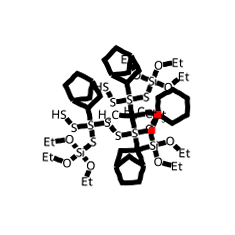 CCO[Si](OCC)(OCC)SS(SS)(SSS(SC1(C)CCCCC1)(C1([Si](OCC)(OCC)OCC)CC2CCC1C2)C(C)(C)S(SS)(S[Si](OCC)(OCC)OCC)C1CC2CCC1C2)C1CC2CCC1C2